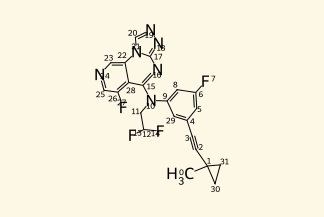 CC1(C#Cc2cc(F)cc(N(CC(F)F)c3nc4nncn4c4cncc(F)c34)c2)CC1